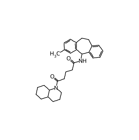 Cc1ccc2c(c1)C(NC(=O)CCCC(=O)N1CCCC3CCCCC31)c1ccccc1CC2